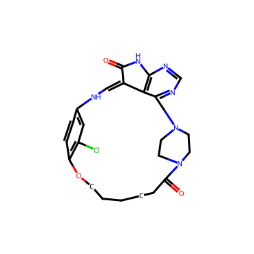 O=C1Nc2ncnc3c2/C1=C\Nc1ccc(c(Cl)c1)OCCCCCC(=O)N1CCN3CC1